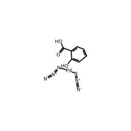 O=C(O)c1ccccc1O.[N-]=[N+]=[N][Pd][N]=[N+]=[N-]